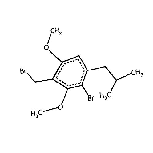 COc1cc(C[C](C)C)c(Br)c(OC)c1CBr